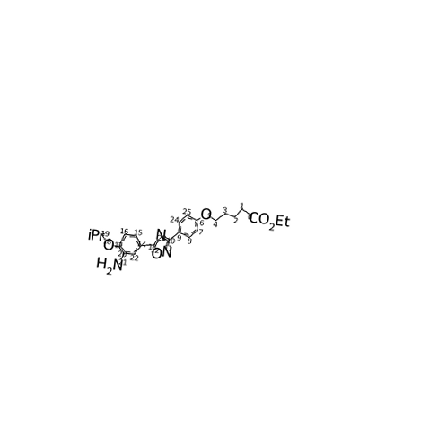 CCOC(=O)CCCCOc1ccc(-c2noc(-c3ccc(OC(C)C)c(N)c3)n2)cc1